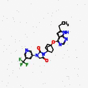 CCc1cc2c(OC34CCC(N5C(=O)CN(c6cncc(C(F)(F)F)c6)C5=O)(CC3)C4)ncnc2[nH]1